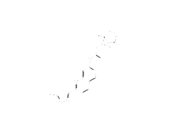 Cc1nnc(-c2ccc3cnc(NC(=O)CN4C[C@@H]5C[C@H]4CO5)cc3n2)s1